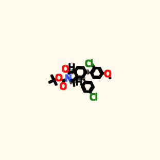 COc1ccc([C@H]2C=C[C@H]3C(=O)N(C(=O)OC(C)(C)C)[C@H](C)[C@H]3[C@H]2c2ccc(Cl)cc2)c(Cl)c1